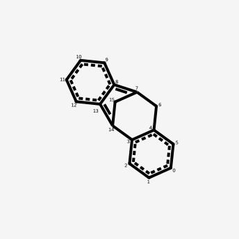 c1ccc2c(c1)CC1=c3ccccc3=C2C1